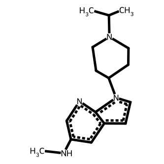 CNc1cnc2c(ccn2C2CCN(C(C)C)CC2)c1